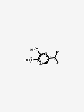 COc1nc(C(F)F)cnc1C(=O)O